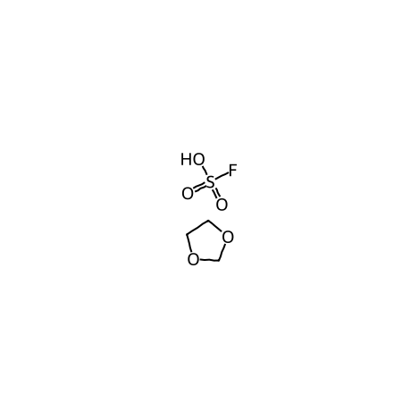 C1COCO1.O=S(=O)(O)F